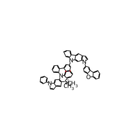 C[Si]1(C)c2ccccc2N(c2ccccc2-c2cccc(-n3c4ccccc4c4cc5ccn(-c6ccc7oc8ccccc8c7c6)c5cc43)c2)c2cc3c(ccn3-c3ccccc3)cc21